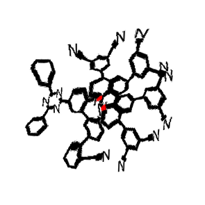 N#Cc1cc(C#N)cc(-c2ccc3c(c2)c2cc(-c4cc(C#N)cc(C#N)c4)ccc2n3-c2ccc(-c3nc(-c4ccccc4)nc(-c4ccccc4)n3)cc2-c2cc(-c3ccccc3C#N)ccc2-n2c3ccc(-c4cc(C#N)cc(C#N)c4)cc3c3cc(-c4cc(C#N)cc(C#N)c4)ccc32)c1